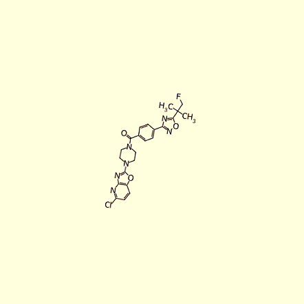 CC(C)(CF)c1nc(-c2ccc(C(=O)N3CCN(c4nc5nc(Cl)ccc5o4)CC3)cc2)no1